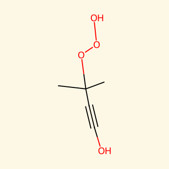 CC(C)(C#CO)OOO